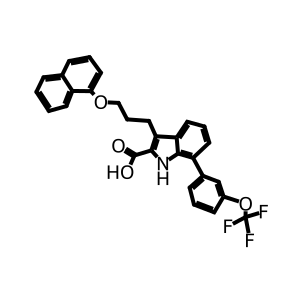 O=C(O)c1[nH]c2c(-c3cccc(OC(F)(F)F)c3)cccc2c1CCCOc1cccc2ccccc12